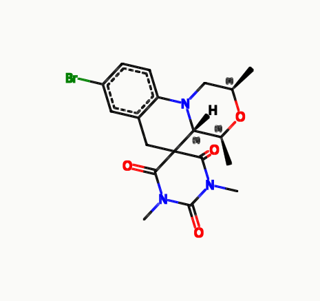 C[C@@H]1CN2c3ccc(Br)cc3CC3(C(=O)N(C)C(=O)N(C)C3=O)[C@H]2[C@H](C)O1